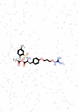 N=C(N)NOCCCOc1ccc(C[C@H](NS(=O)(=O)c2cc(C(F)(F)F)ccc2Cl)C(=O)OC(=O)C(F)(F)F)cc1